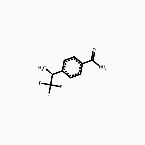 C[C@@H](c1ccc(C(N)=O)cc1)C(F)(F)F